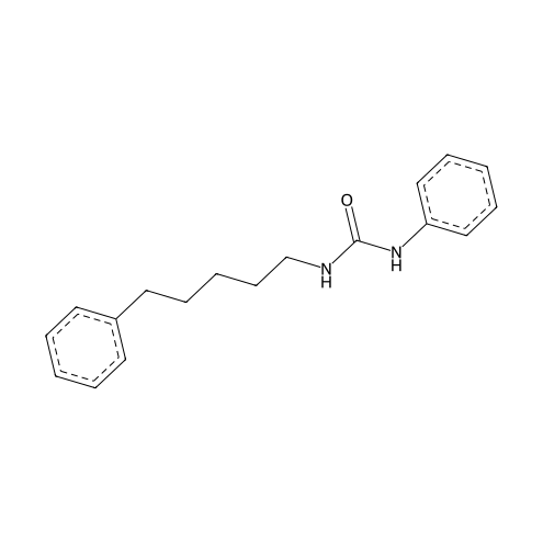 O=C(NCCCCCc1ccccc1)Nc1ccccc1